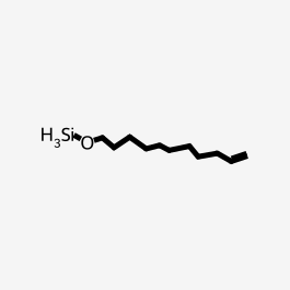 C=CCCCCCCCCCO[SiH3]